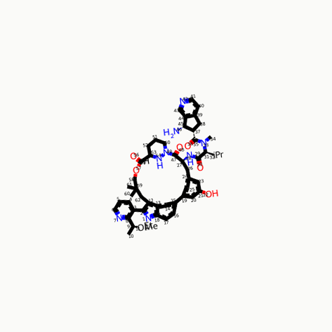 CCn1c(-c2cccnc2[C@H](C)OC)c2c3cc(ccc31)-c1cc(O)cc(c1)C[C@H](NC(=O)[C@H](C(C)C)N(C)C(=O)[C@H]1Cc3ccncc3[C@H]1N)C(=O)N1CCC[C@H](N1)C(=O)OCC(C)(C)C2